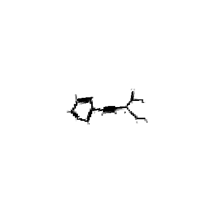 CC[C@@H](C#Cc1ccccc1)C(C)C